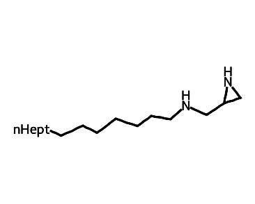 CCCCCCCCCCCCCCNCC1CN1